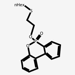 CCCCCCSCCOP1(=O)Oc2ccccc2-c2ccccc21